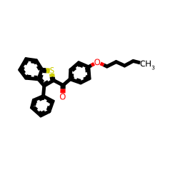 CCCCCOc1ccc(C(=O)c2sc3ccccc3c2-c2ccccc2)cc1